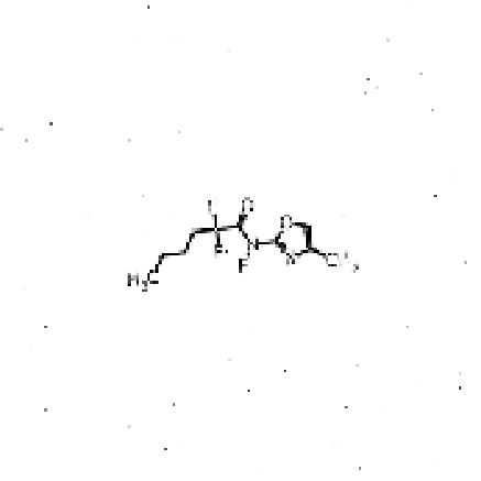 CCCCC(F)(F)C(=O)N(F)c1nc(C)co1